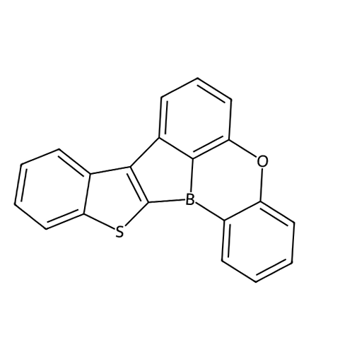 c1ccc2c(c1)Oc1cccc3c1B2c1sc2ccccc2c1-3